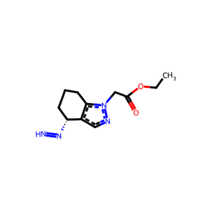 CCOC(=O)Cn1ncc2c1CCC[C@H]2N=N